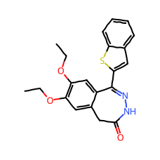 CCOc1cc2c(cc1OCC)C(c1cc3ccccc3s1)=NNC(=O)C2